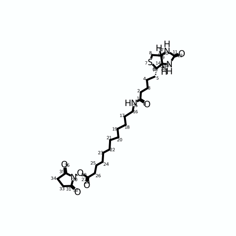 O=C(CCCC[C@@H]1SC[C@@H]2NC(=O)N[C@@H]21)NCCCCCCCCCCCC(=O)ON1C(=O)CCC1=O